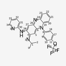 CC(C)/N=c1\cc2n(-c3ccc(OC(F)(F)F)cc3)c3ccccc3nc-2cc1Nc1ccccn1